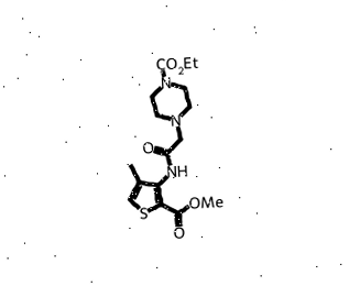 CCOC(=O)N1CCN(CC(=O)Nc2c(C)csc2C(=O)OC)CC1